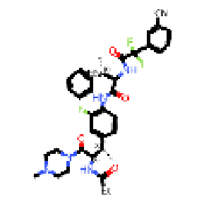 CCC(=O)N[C@@H](C(=O)N1CCN(C)CC1)[C@@H](C)c1ccc(NC(=O)C(NC(=O)C(F)(F)c2cccc(C#N)c2)[Si@@H](C)c2ccccc2)c(F)c1